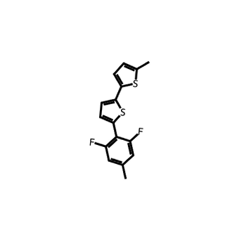 Cc1cc(F)c(-c2ccc(-c3ccc(C)s3)s2)c(F)c1